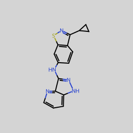 c1cnc2c(Nc3ccc4c(C5CC5)nsc4c3)n[nH]c2c1